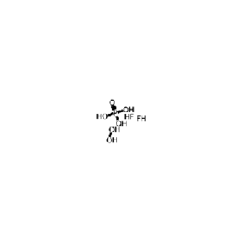 F.F.O=P(O)(O)O.OO